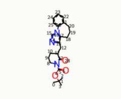 CC(C)(C)OC(=O)N1CCCC(Cc2ncn3c2CCCc2ccccc2-3)C1=O